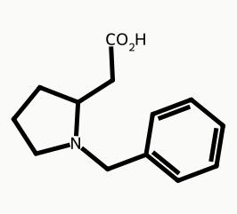 O=C(O)CC1CCCN1Cc1ccccc1